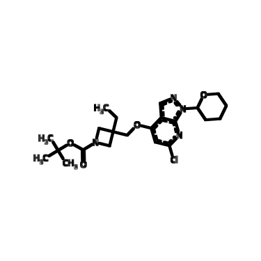 CCC1(COc2cc(Cl)nc3c2cnn3C2CCCCO2)CN(C(=O)OC(C)(C)C)C1